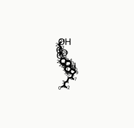 CC(C)CCCC(C)C1CCC2[C@@H]3CC=C4C[C@@H](OC(=O)OCCO)CC[C@]4(C)C3CC[C@]12C